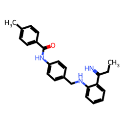 CCC(=N)c1ccccc1NCc1ccc(NC(=O)c2ccc(C)cc2)cc1